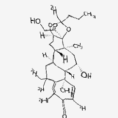 [2H]C1=C[C@@]2(C)C(=C([2H])C1=O)C([2H])([2H])C[C@@H]1[C@@H]2[C@@H](O)C[C@@]2(C)[C@H]1C[C@H]1OC([2H])(CCC)O[C@]12C(=O)CO